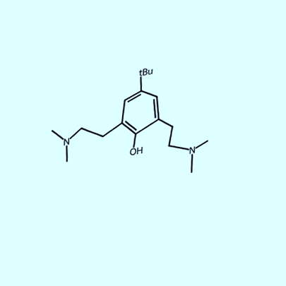 CN(C)CCc1cc(C(C)(C)C)cc(CCN(C)C)c1O